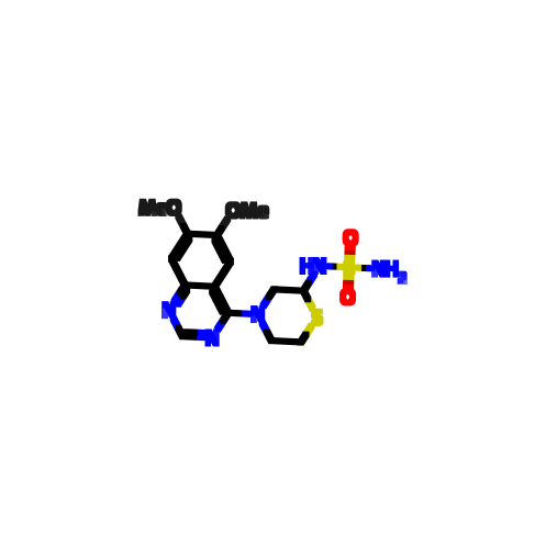 COc1cc2ncnc(N3CCSC(NS(N)(=O)=O)C3)c2cc1OC